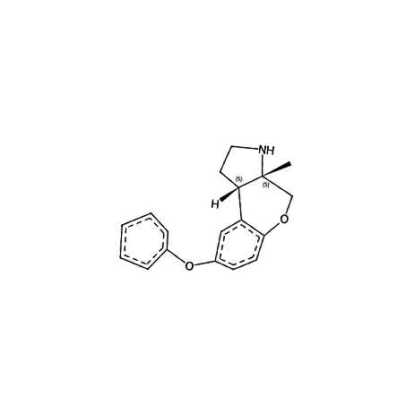 C[C@@]12COc3ccc(Oc4ccccc4)cc3[C@@H]1CCN2